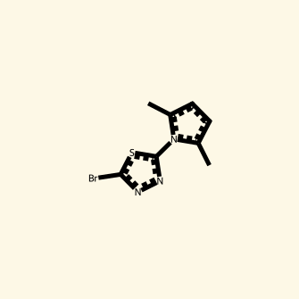 Cc1ccc(C)n1-c1nnc(Br)s1